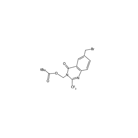 CC(C)(C)C(=O)OCn1c(C(F)(F)F)nc2ccc(CBr)cc2c1=O